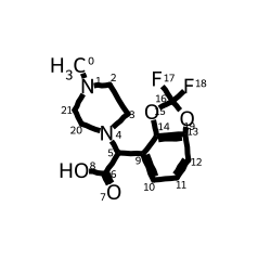 CN1CCN(C(C(=O)O)c2cccc3c2OC(F)(F)O3)CC1